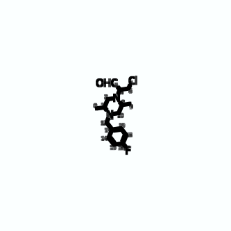 CC1CN(C(C=O)CCl)C(C)CN1Cc1ccc(F)cc1